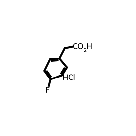 Cl.O=C(O)Cc1ccc(F)cc1